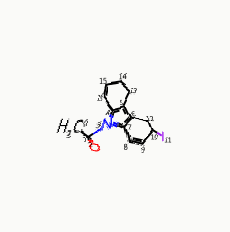 CC(=O)n1c2c(c3c1C=CC(I)C3)CCC=C2